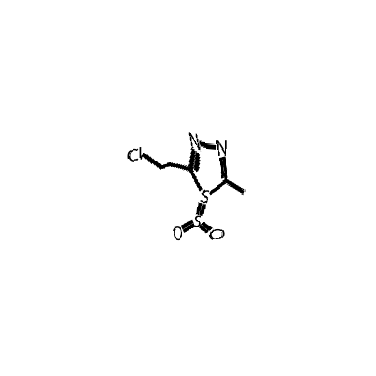 CC1=NN=C(CCl)S1=S(=O)=O